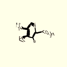 CCc1c(C(F)(F)F)cnc(C(=O)O)c1Br